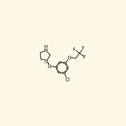 FC(F)(F)COc1cc(Cl)cc(O[C@H]2CCNC2)c1